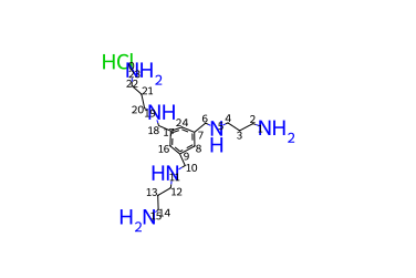 Cl.NCCCNCc1cc(CNCCCN)cc(CNCCCN)c1